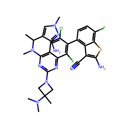 CC(c1cn(C)nc1N)N(C)c1nc(N2CC(C)(N(C)C)C2)nc2c(F)c(-c3ccc(F)c4sc(N)c(C#N)c34)c(Cl)cc12